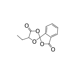 CCC1OC2(OC(=O)c3ccccc32)OC1=O